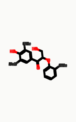 COc1ccccc1OC(CO)C(=O)c1cc(OC)c(O)c(OC)c1